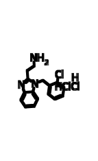 Cl.Cl.NCCc1nc2ccccc2n1Cc1ccccc1Cl